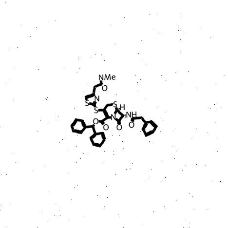 CNC(=O)Cc1csc(SC2=C(C(=O)OC(c3ccccc3)c3ccccc3)N3C(=O)[C@@H](NC(=O)Cc4ccccc4)[C@@H]3SC2)n1